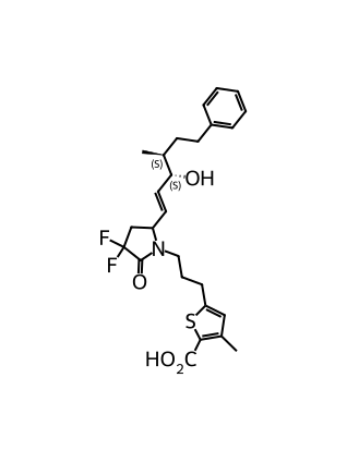 Cc1cc(CCCN2C(=O)C(F)(F)CC2C=C[C@@H](O)[C@@H](C)CCc2ccccc2)sc1C(=O)O